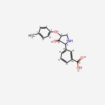 Cc1ccc(OC2CNC(c3cccc(C(=O)O)c3)C2=O)cc1